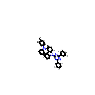 Cc1ccc(N(c2ccccc2)c2cccc3c2c2ccccc2n3-c2nc(-c3ccccc3)nc(-c3ccccc3)n2)cc1